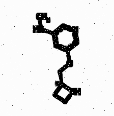 CNc1cncc(OC[C@@H]2CCN2)c1